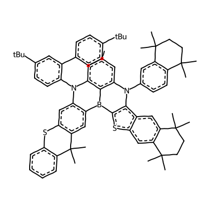 Cc1cc2c3c(c1)N(c1ccc4c(c1)C(C)(C)CCC4(C)C)c1c(sc4cc5c(cc14)C(C)(C)CCC5(C)C)B3c1cc3c(cc1N2c1ccc(C(C)(C)C)cc1-c1ccc(C(C)(C)C)cc1)Sc1ccccc1C3(C)C